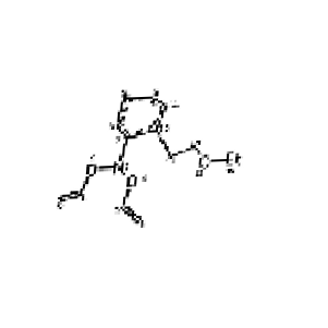 C=CON(OC=C)c1ccccc1CCOCC